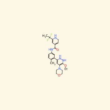 CCOC1=C(N2CCOCC2)C=C(c2cc(NC(=O)C3=CCNC(C(C)(F)F)=C3)ccc2C)NN1